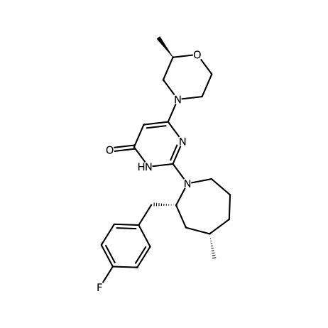 C[C@H]1CCCN(c2nc(N3CCO[C@H](C)C3)cc(=O)[nH]2)[C@@H](Cc2ccc(F)cc2)C1